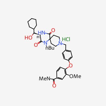 CCCCN1C(=O)[C@@H](C(O)C2CCCCC2)NC(=O)C12CCN(Cc1ccc(Oc3ccc(C(=O)NC)cc3OC)cc1)CC2.Cl